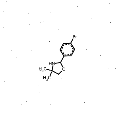 CC1(C)COC(c2ccc(Br)cc2)N1